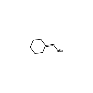 CCCC[C]=C1CCCCC1